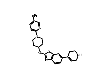 CCCc1cnc(N2CCC(Oc3nc4ccc(C5=CCNCC5)cc4s3)CC2)nc1